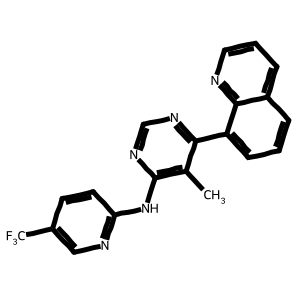 Cc1c(Nc2ccc(C(F)(F)F)cn2)ncnc1-c1cccc2cccnc12